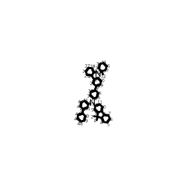 CC1(C)c2ccccc2-c2ccc(N(c3ccc(-c4ccc5c(c4)c4ccccc4n5C4(C)C=CC=CC4)cc3)c3cccc(-c4ccccc4)c3)cc21